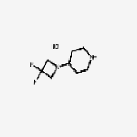 Cl.FC1(F)CN(C2CCNCC2)C1